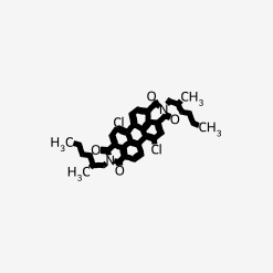 CCCCC(C)CN1C(=O)c2ccc3c4c(Cl)cc5c6c(ccc(c7c(Cl)cc(c2c37)C1=O)c64)C(=O)N(CC(C)CCCC)C5=O